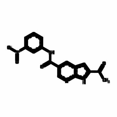 CC(=O)c1cc2cc(C(=O)Nc3cccc([N+](=O)[O-])c3)cnc2[nH]1